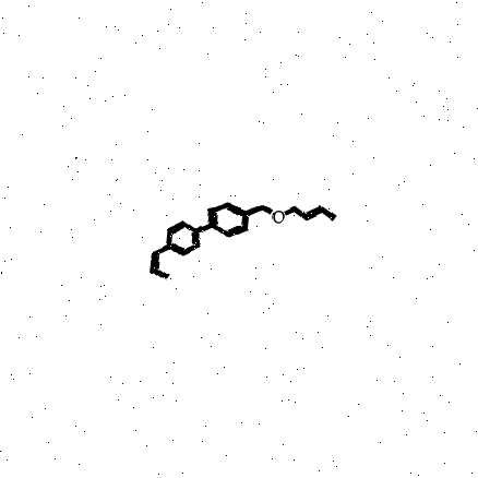 C/C=C\c1ccc(-c2ccc(COC/C=C/C)cc2)cc1